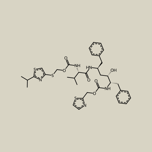 CC(C)c1nc(SCOC(=O)N[C@H](C(=O)N[C@@H](Cc2ccccc2)C[C@H](O)[C@H](Cc2ccccc2)NC(=O)OCc2nccs2)C(C)C)cs1